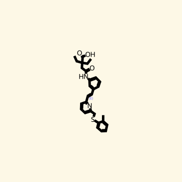 CCC(CC)(CC(=O)Nc1cccc(/C=C/c2cccc(CSc3ccccc3C)n2)c1)C(=O)O